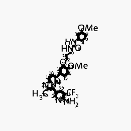 COc1cccc(NC(=O)NCCCOc2cc(-c3ccc4nc(C)c(-c5cnc(N)c(C(F)(F)F)c5)n4n3)ccc2OC)c1